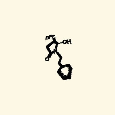 CCCC1=CC(=O)N(CCc2ccccc2)[C@H]1O